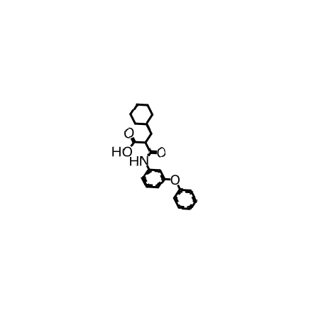 O=C(O)C(CC1CCCCC1)C(=O)Nc1cccc(Oc2ccccc2)c1